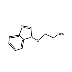 CC(=O)OCCOn1cnc2ccccc21